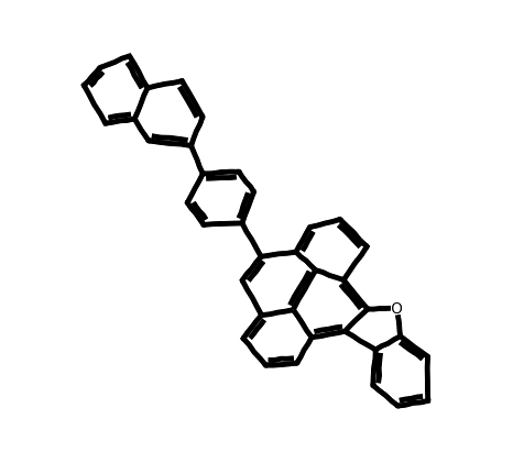 c1ccc2cc(-c3ccc(-c4cc5cccc6c7c8ccccc8oc7c7cccc4c7c56)cc3)ccc2c1